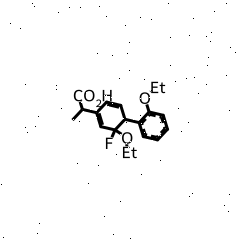 CCOc1ccccc1C1C=CC(C(C)C(=O)O)=CC1(F)OCC